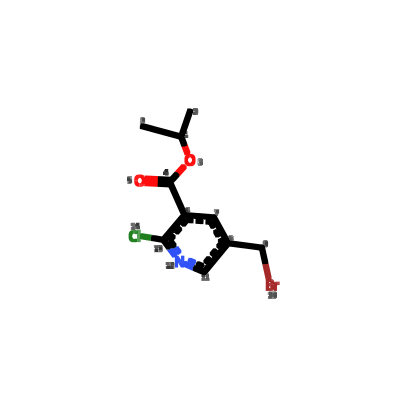 CC(C)OC(=O)c1cc(CBr)cnc1Cl